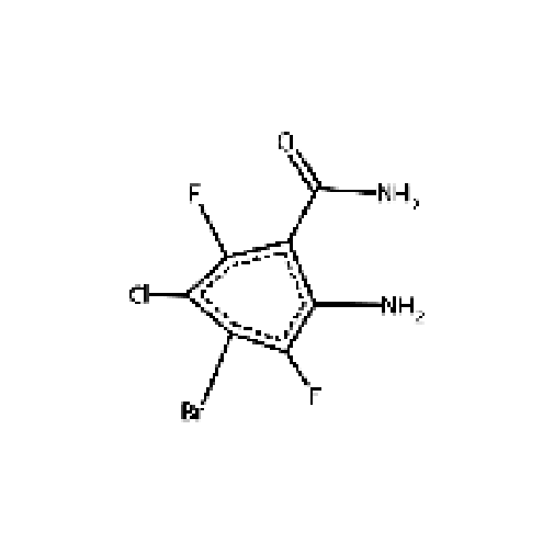 NC(=O)c1c(N)c(F)c(Br)c(Cl)c1F